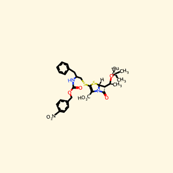 C[C@H](O[Si](C)(C)C(C)(C)C)[C@@H]1C(=O)N2C(C(=O)O)=C(SCC(Cc3ccccc3)NC(=O)OCc3ccc([N+](=O)[O-])cc3)S[C@H]12